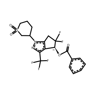 O=C(O[C@H]1c2c(C(F)(F)F)nn(C3CCCS(=O)(=O)C3)c2CC1(F)F)c1ccccc1